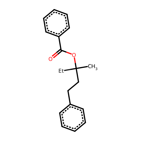 CCC(C)(CCc1ccccc1)OC(=O)c1ccccc1